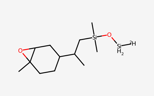 [2H][SiH2]O[Si](C)(C)CC(C)C1CCC2(C)OC2C1